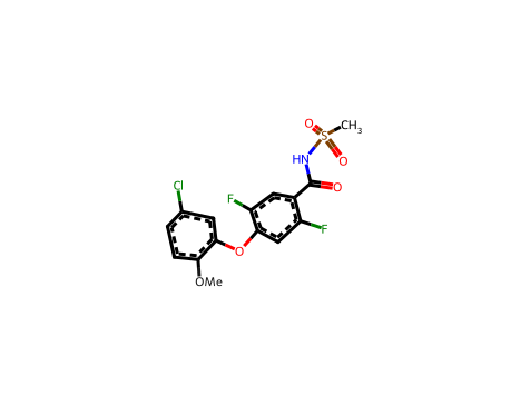 COc1ccc(Cl)cc1Oc1cc(F)c(C(=O)NS(C)(=O)=O)cc1F